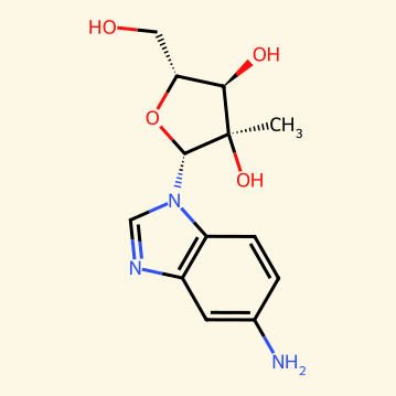 C[C@@]1(O)[C@H](O)[C@@H](CO)O[C@H]1n1cnc2cc(N)ccc21